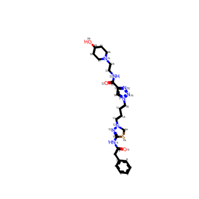 O=C(Cc1ccccc1)NC1=NN(CCCCn2cc(C(=O)NCCN3CCC(O)CC3)nn2)CS1